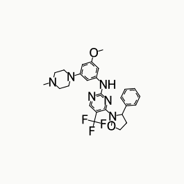 COc1cc(Nc2ncc(C(F)(F)F)c(N3OCCC3c3ccccc3)n2)cc(N2CCN(C)CC2)c1